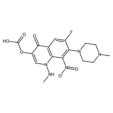 CNn1cc(OC(=O)O)c(=O)c2cc(F)c(N3CCN(C)CC3)c([N+](=O)[O-])c21